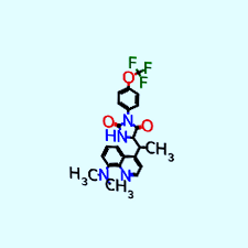 CC(c1ccnc2c(N(C)C)cccc12)C1NC(=O)N(c2ccc(OC(F)(F)F)cc2)C1=O